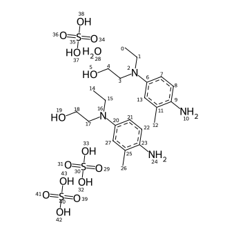 CCN(CCO)c1ccc(N)c(C)c1.CCN(CCO)c1ccc(N)c(C)c1.O.O=S(=O)(O)O.O=S(=O)(O)O.O=S(=O)(O)O